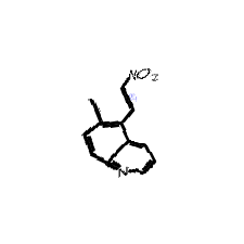 Cc1ccc2ncccc2c1/C=C/[N+](=O)[O-]